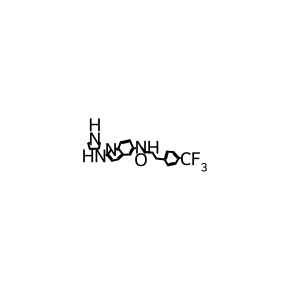 O=C(CCc1ccc(C(F)(F)F)cc1)Nc1ccc2nc(NC3CCNC3)ccc2c1